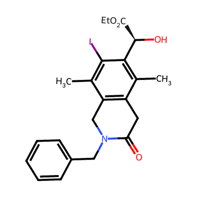 CCOC(=O)[C@@H](O)c1c(C)c2c(c(C)c1I)CN(Cc1ccccc1)C(=O)C2